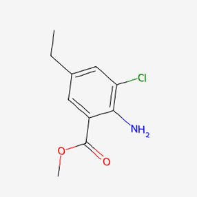 CCc1cc(Cl)c(N)c(C(=O)OC)c1